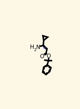 CC(C)(OC(=O)/C=C(\N)C1CC1)c1ccccc1